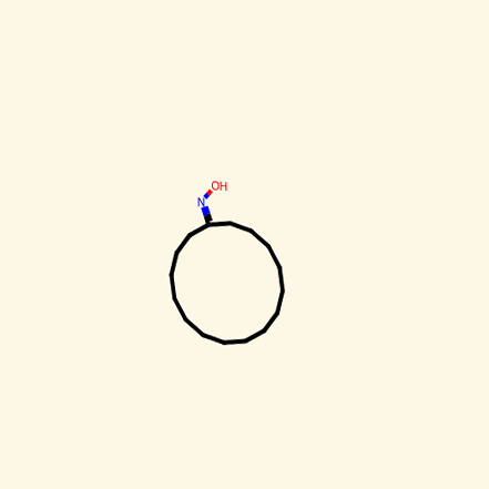 ON=C1CCCCCCCCCCCCCCC1